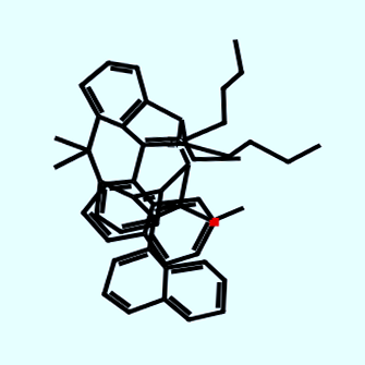 CCC[CH2][Zr]1([CH2]CCC)[CH]2C(CC)=C(c3cccc4ccccc34)c3c2cccc3C(C)(C)c2cccc3c2C(c2cccc4ccccc24)=C(CC)[CH]31